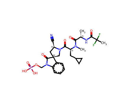 C[C@H](NC(=O)C(C)(F)F)C(=O)N(C)[C@@H](CC1CC1)C(=O)N1C[C@]2(C[C@H]1C#N)C(=O)N(COP(=O)(O)O)c1ccccc12